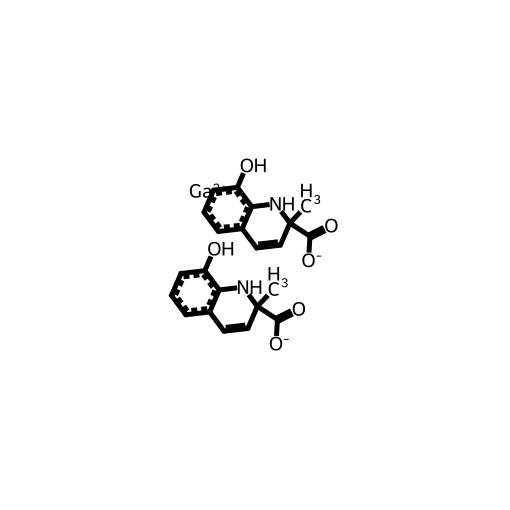 CC1(C(=O)[O-])C=Cc2cccc(O)c2N1.CC1(C(=O)[O-])C=Cc2cccc(O)c2N1.[Ga+2]